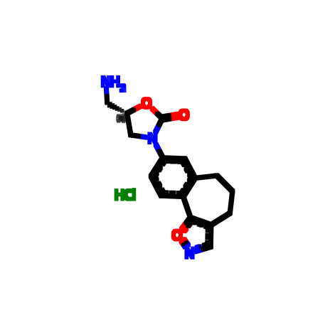 Cl.NC[C@H]1CN(c2ccc3c(c2)CCCc2cnoc2-3)C(=O)O1